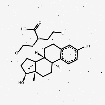 C[C@]12CC[C@@H]3c4ccc(O)cc4CC[C@H]3[C@@H]1CC[C@@H]2O.O=C(O)N(CCCl)CCCl